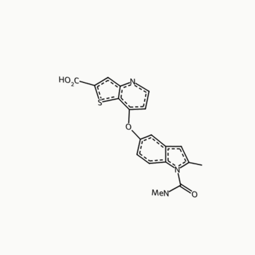 CNC(=O)n1c(C)cc2cc(Oc3ccnc4cc(C(=O)O)sc34)ccc21